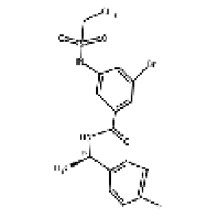 CCS(=O)(=O)Nc1cc(Br)cc(C(=O)N[C@H](C)c2ccc(F)cc2)c1